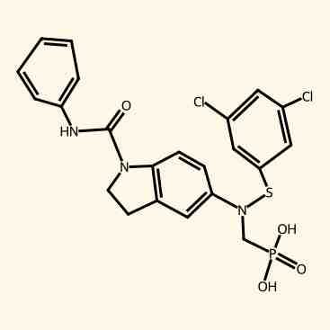 O=C(Nc1ccccc1)N1CCc2cc(N(CP(=O)(O)O)Sc3cc(Cl)cc(Cl)c3)ccc21